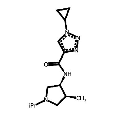 CC(C)N1C[C@H](C)[C@H](NC(=O)c2cn(C3CC3)nn2)C1